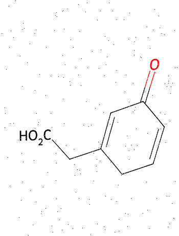 O=C1C=CCC(CC(=O)O)=C1